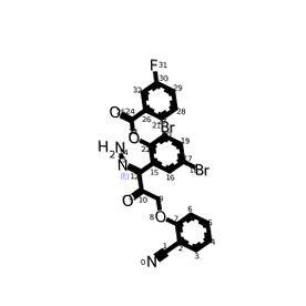 N#Cc1ccccc1OCC(=O)/C(=N/N)c1cc(Br)cc(Br)c1OC(=O)c1cccc(F)c1